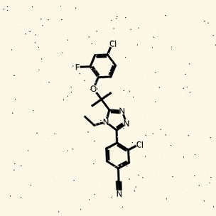 CCn1c(-c2ccc(C#N)cc2Cl)nnc1C(C)(C)Oc1ccc(Cl)cc1F